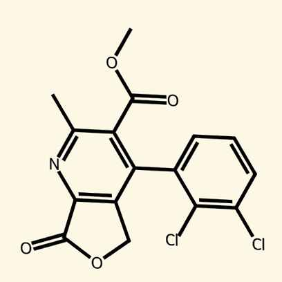 COC(=O)c1c(C)nc2c(c1-c1cccc(Cl)c1Cl)COC2=O